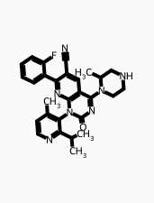 Cc1ccnc(C(C)C)c1-n1c(=O)nc(N2CCNCC2C)c2cc(C#N)c(-c3ccccc3F)nc21